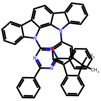 CC1(C)c2ccccc2-c2ccc(-n3c4ccccc4c4ccc5c6ccccc6n(-c6nc(-c7ccccc7)nc(-c7ccccc7)n6)c5c43)cc21